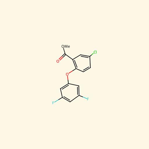 COC(=O)c1cc(Cl)ccc1Oc1cc(F)cc(F)c1